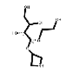 OCCO[C@H](OC1CNC1)[C@H](O)C(O)CO